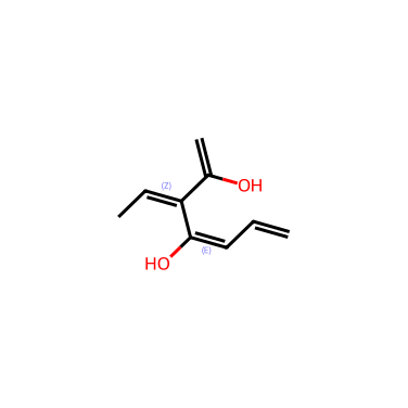 C=C/C=C(O)\C(=C/C)C(=C)O